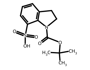 CC(C)(C)OC(=O)N1CCc2cccc(S(=O)(=O)O)c21